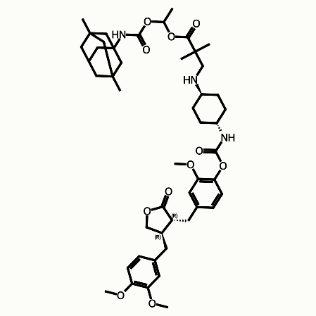 COc1ccc(C[C@H]2COC(=O)[C@@H]2Cc2ccc(OC(=O)N[C@H]3CC[C@H](NCC(C)(C)C(=O)OC(C)OC(=O)NC45CC6CC(C)(CC(C)(C6)C4)C5)CC3)c(OC)c2)cc1OC